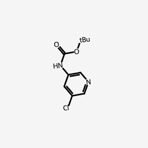 CC(C)(C)OC(=O)Nc1cncc(Cl)c1